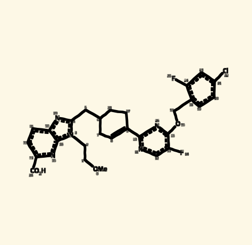 COCCn1c(CC2CC=C(c3ncc(F)c(OCc4ccc(Cl)cc4F)n3)CC2)nc2ccc(C(=O)O)nc21